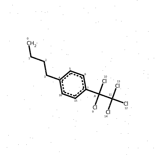 [CH2]CCCc1ccc(C(Cl)(Cl)C(Cl)(Cl)Cl)cc1